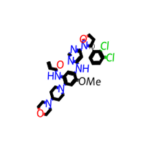 C=CC(=O)Nc1cc(Nc2cc(N3OCC[C@@H]3c3cccc(Cl)c3Cl)ncn2)c(OC)cc1N1CCC(N2CCOCC2)CC1